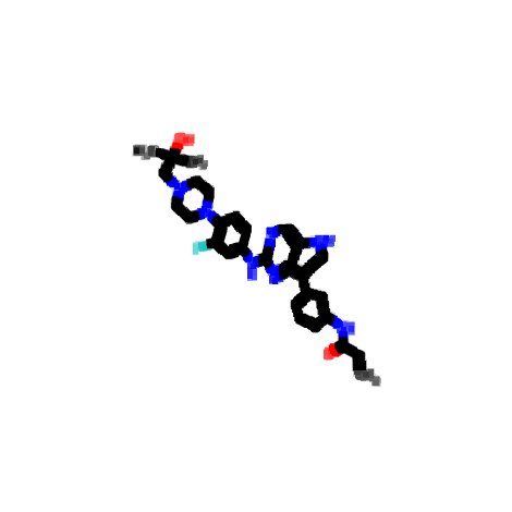 C=CC(=O)Nc1cccc(-c2c[nH]c3cnc(Nc4ccc(N5CCN(CC(C)(C)O)CC5)c(F)c4)nc23)c1